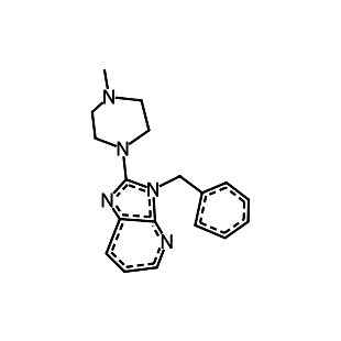 CN1CCN(c2nc3cccnc3n2Cc2ccccc2)CC1